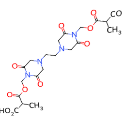 CC(C(=O)O)C(=O)OCN1C(=O)CN(CCN2CC(=O)N(COC(=O)C(C)C(=O)O)C(=O)C2)CC1=O